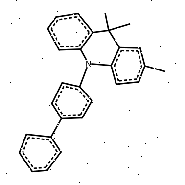 Cc1ccc2c(c1)C(C)(C)c1ccccc1N2c1ccc(-c2ccccc2)cc1